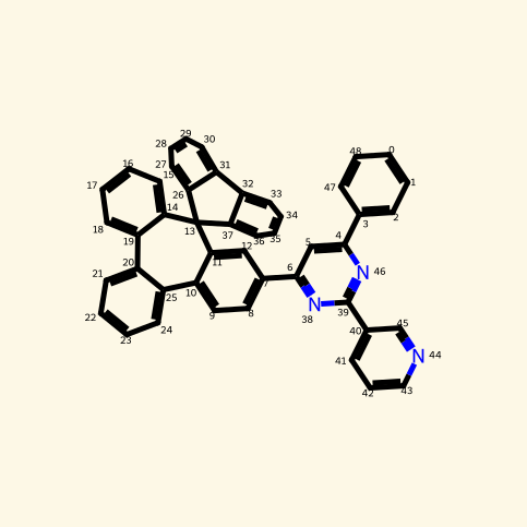 c1ccc(-c2cc(-c3ccc4c(c3)C3(c5ccccc5-c5ccccc5-4)c4ccccc4-c4ccccc43)nc(-c3cccnc3)n2)cc1